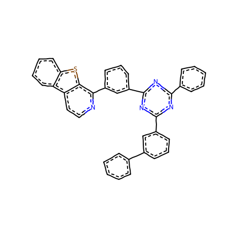 c1ccc(-c2cccc(-c3nc(-c4ccccc4)nc(-c4cccc(-c5nccc6c5sc5ccccc56)c4)n3)c2)cc1